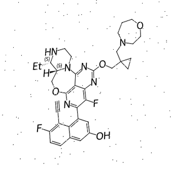 C#Cc1c(F)ccc2cc(O)cc(-c3nc4c5c(nc(OCC6(CN7CCCOCC7)CC6)nc5c3F)N3CCN[C@@H](CC)[C@H]3CO4)c12